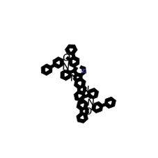 C=c1c2c(N(c3cccc(-c4ccccc4)c3)c3cccc4c3oc3ccccc34)cccc2n2c1c(/C=C\C)c1cc3c(cc12)c1cccc2c4c(N(c5cccc(-c6ccccc6)c5)c5cccc6c5oc5ccccc56)cccc4n3c12